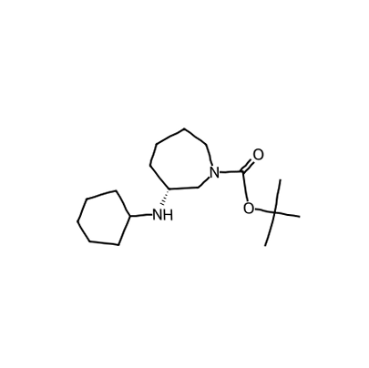 CC(C)(C)OC(=O)N1CCCC[C@@H](NC2CCCCC2)C1